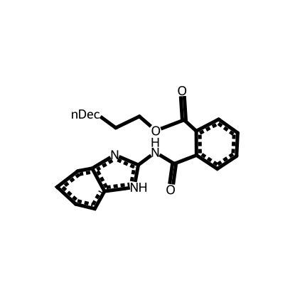 CCCCCCCCCCCCOC(=O)c1ccccc1C(=O)Nc1nc2ccccc2[nH]1